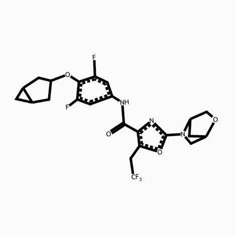 O=C(Nc1cc(F)c(OC2CC3CC3C2)c(F)c1)c1nc(N2CC3CC2CO3)oc1CC(F)(F)F